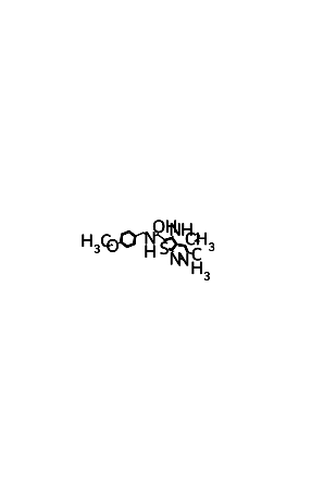 COc1ccc(CNC(O)c2sc3nnc(C)c(C)c3c2N)cc1